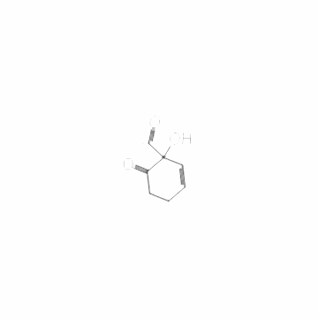 O=[C]C1(O)C=CCCC1=O